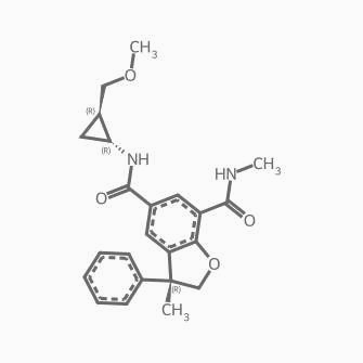 CNC(=O)c1cc(C(=O)N[C@@H]2C[C@H]2COC)cc2c1OC[C@]2(C)c1ccccc1